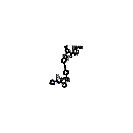 COC(=O)N[C@H](C(=O)N1CC2(CC2)C[C@H]1c1nc2ccc(C#Cc3ccc(-c4cnc([C@@H]5CCCN5C(=O)/C=C(\C)c5ccccc5)[nH]4)cc3)cc2[nH]1)C(C)C